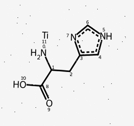 NC(Cc1c[nH]cn1)C(=O)O.[Ti]